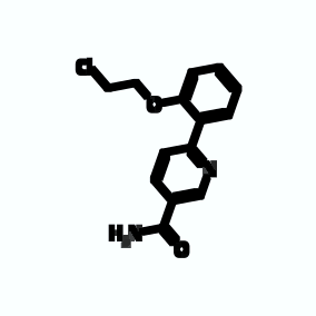 NC(=O)c1ccc(-c2ccccc2OCCCl)nc1